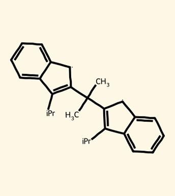 CC(C)C1=C(C(C)(C)C2=C(C(C)C)c3ccccc3[CH]2)[CH]c2ccccc21